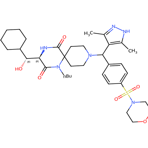 CCCCN1C(=O)[C@@H]([C@H](O)C2CCCCC2)NC(=O)C12CCN(C(c1ccc(S(=O)(=O)N3CCOCC3)cc1)c1c(C)n[nH]c1C)CC2